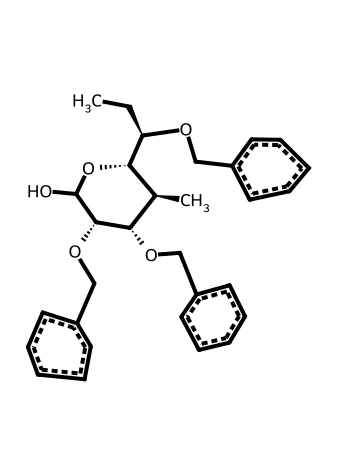 CC[C@@H](OCc1ccccc1)[C@H]1OC(O)[C@@H](OCc2ccccc2)[C@@H](OCc2ccccc2)[C@@H]1C